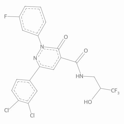 O=C(NCC(O)C(F)(F)F)c1cc(-c2ccc(Cl)c(Cl)c2)nn(-c2cccc(F)c2)c1=O